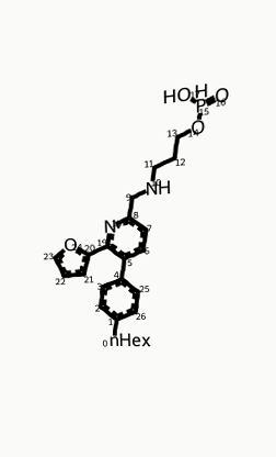 CCCCCCc1ccc(-c2ccc(CNCCCO[PH](=O)O)nc2-c2ccco2)cc1